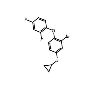 Fc1ccc(Oc2ccc(SC3CC3)cc2Br)c(F)c1